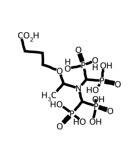 CC(OCCCC(=O)O)N(C(P(=O)(O)O)P(=O)(O)O)C(P(=O)(O)O)P(=O)(O)O